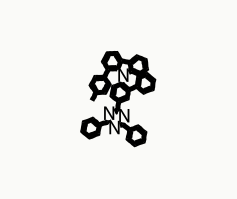 Cc1ccc(-c2cccc3c4ccccc4n(-c4ccc(-c5nc(-c6ccccc6)nc(-c6ccccc6)n5)cc4-c4ccccc4)c23)cc1